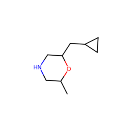 CC1CNCC(CC2CC2)O1